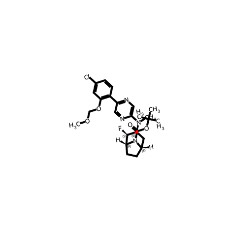 COCOc1cc(Cl)ccc1-c1cnc(N(C)[C@H]2C[C@@H]3CC[C@H]([C@H]2F)N3C(=O)OC(C)(C)C)cn1